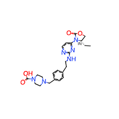 CC[C@H]1COC(=O)N1c1ccnc(NCCc2ccc(CN3CCN(C(=O)O)CC3)cc2)n1